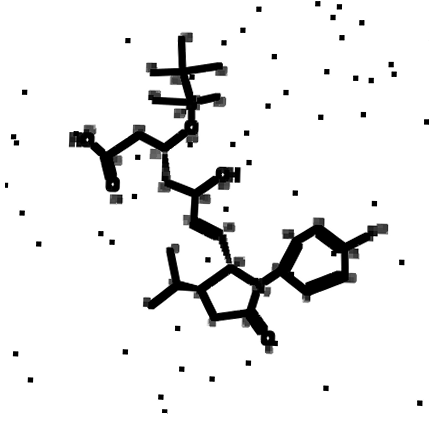 CC(C)[C@@H]1CC(=O)N(c2ccc(F)cc2)[C@H]1C=CC(O)C[C@H](CC(=O)O)O[Si](C)(C)C(C)(C)C